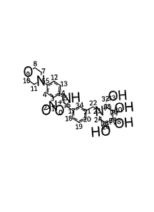 O=[N+]([O-])c1cc(N2CCOCC2)ccc1NCc1cccc(CN2C[C@H](O)[C@@H](O)[C@H](O)[C@H]2CO)c1